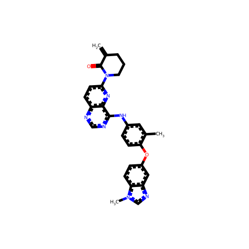 C=C1CCCN(c2ccc3ncnc(Nc4ccc(Oc5ccc6c(c5)ncn6C)c(C)c4)c3n2)C1=O